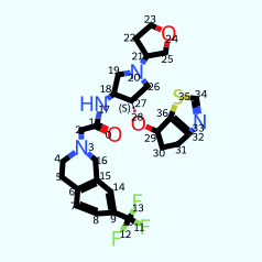 O=C(CN1CCc2ccc(C(F)(F)F)cc2C1)NC1CN(C2CCOC2)C[C@@H]1OC1CCc2ncsc21